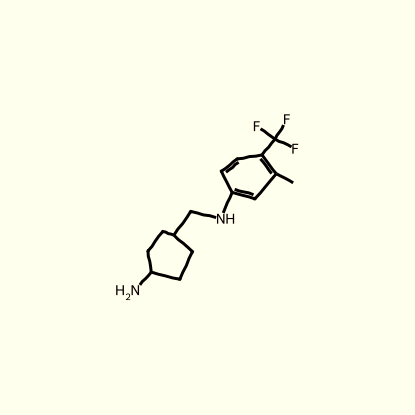 Cc1cc(NCC2CCC(N)CC2)ccc1C(F)(F)F